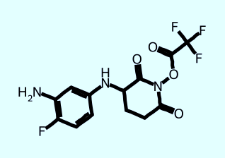 Nc1cc(NC2CCC(=O)N(OC(=O)C(F)(F)F)C2=O)ccc1F